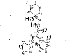 C[C@@H]1CCC[C@](O)(CNC(=O)c2cc(C3CCOC3)n3cccc(Cl)c23)C1